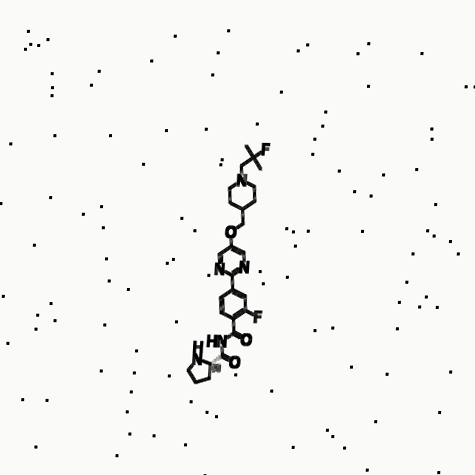 CC(C)(F)CN1CCC(COc2cnc(-c3ccc(C(=O)NC(=O)[C@@H]4CCCN4)c(F)c3)nc2)CC1